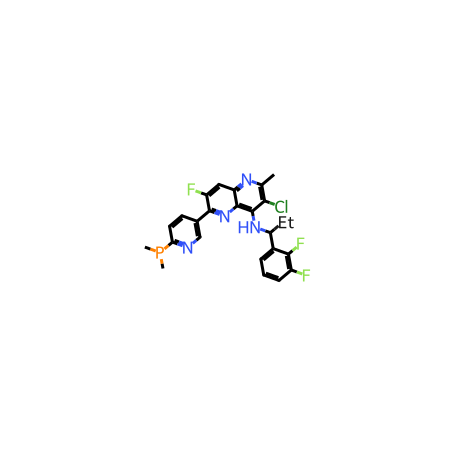 CCC(Nc1c(Cl)c(C)nc2cc(F)c(-c3ccc(P(C)C)nc3)nc12)c1cccc(F)c1F